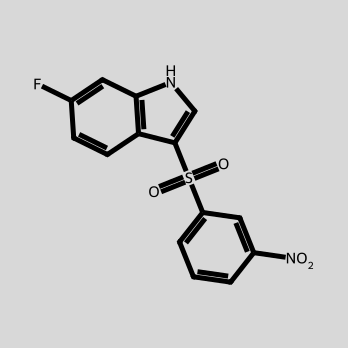 O=[N+]([O-])c1cccc(S(=O)(=O)c2c[nH]c3cc(F)ccc23)c1